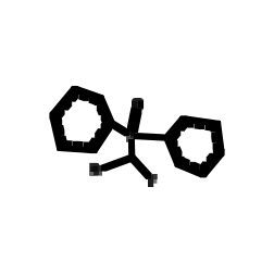 O=P(c1ccccc1)(c1ccccc1)C(F)Br